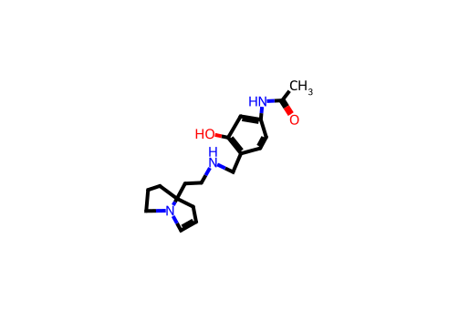 CC(=O)Nc1ccc(CNCCC23CC=CN2CCC3)c(O)c1